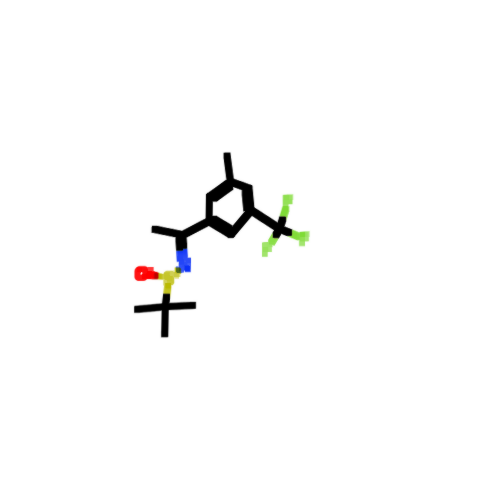 C/C(=N\[S@+]([O-])C(C)(C)C)c1cc(C)cc(C(F)(F)F)c1